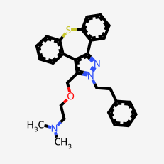 CN(C)CCOCc1c2c(nn1CCc1ccccc1)-c1ccccc1Sc1ccccc1-2